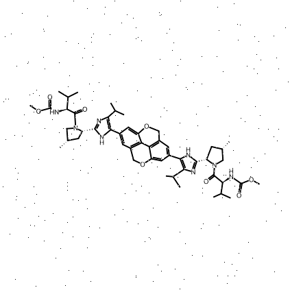 COC(=O)N[C@H](C(=O)N1C[C@@H](C)C[C@H]1c1nc(C(C)C)c(-c2cc3c4c(c2)OCc2cc(-c5[nH]c([C@@H]6C[C@H](C)CN6C(=O)[C@@H](NC(=O)OC)C(C)C)nc5C(C)C)cc(c2-4)OC3)[nH]1)C(C)C